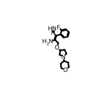 N=N/C(=C(\N)COC1CCN(C2CCOCC2)C1)c1ccccc1F